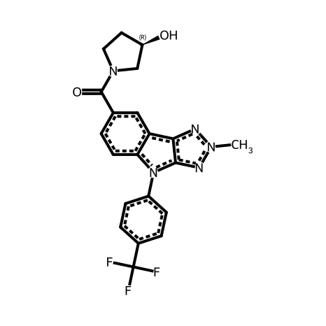 Cn1nc2c3cc(C(=O)N4CC[C@@H](O)C4)ccc3n(-c3ccc(C(F)(F)F)cc3)c2n1